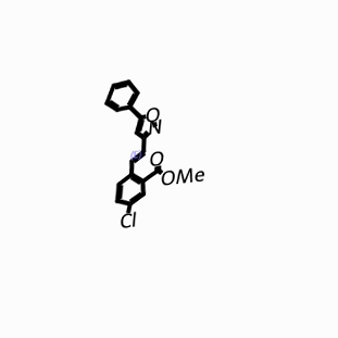 COC(=O)c1cc(Cl)ccc1/C=C/c1cc(-c2ccccc2)on1